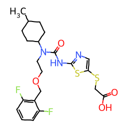 CC1CCC(N(CCOCc2c(F)cccc2F)C(=O)Nc2ncc(SCC(=O)O)s2)CC1